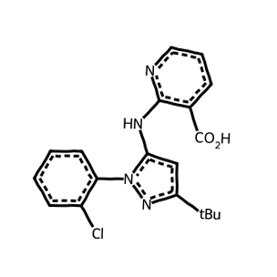 CC(C)(C)c1cc(Nc2ncccc2C(=O)O)n(-c2ccccc2Cl)n1